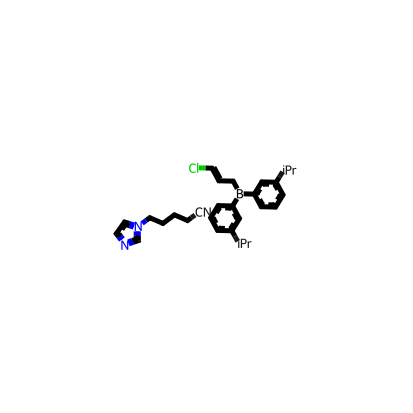 CC(C)c1cccc(B(CC=CCl)c2cccc(C(C)C)c2)c1.N#CCCCCn1ccnc1